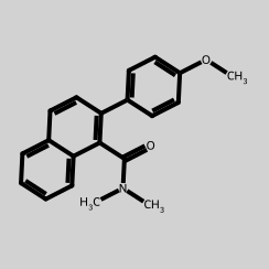 COc1ccc(-c2ccc3ccccc3c2C(=O)N(C)C)cc1